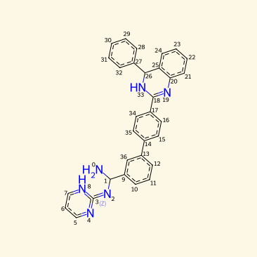 NC(/N=c1/nccc[nH]1)c1cccc(-c2ccc(C3=Nc4ccccc4C(c4ccccc4)N3)cc2)c1